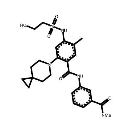 CNC(=O)c1cccc(NC(=O)c2cc(C)c(NS(=O)(=O)CCO)cc2N2CCC3(CC2)CC3)c1